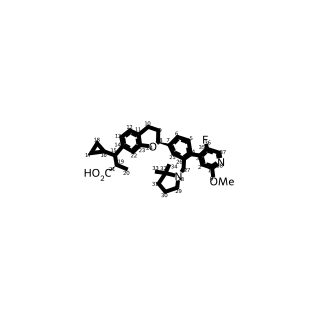 COc1cc(-c2ccc([C@@H]3CCc4ccc(C(C5CC5)[C@H](C)C(=O)O)cc4O3)cc2CN2CCCC2(C)C)c(F)cn1